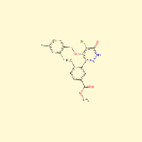 COC(=O)c1ccc(C)c(-c2n[nH]c(=O)c(Br)c2OCc2ccc(F)cc2F)c1